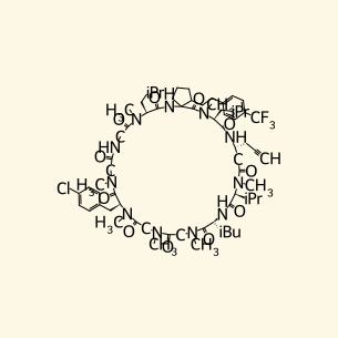 C#CC[C@@H]1CC(=O)N(C)[C@@H](C(C)C)C(=O)N[C@@H]([C@@H](C)CC)C(=O)N(C)CC(=O)N(C)CC(=O)N(C)[C@@H](Cc2ccc(Cl)cc2)C(=O)N(C)CC(=O)NCC(=O)N(C)[C@@H](CC(C)C)C(=O)NC2(CCCC2CCc2ccc(C(F)(F)F)cc2)C(=O)N(C)[C@@H](CC(C)C)C(=O)N1